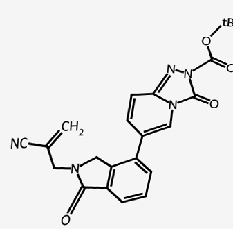 C=C(C#N)CN1Cc2c(cccc2-c2ccc3nn(C(=O)OC(C)(C)C)c(=O)n3c2)C1=O